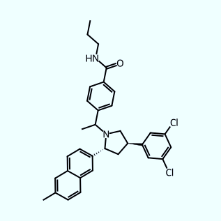 CCCNC(=O)c1ccc(C(C)N2C[C@@H](c3cc(Cl)cc(Cl)c3)C[C@@H]2c2ccc3cc(C)ccc3c2)cc1